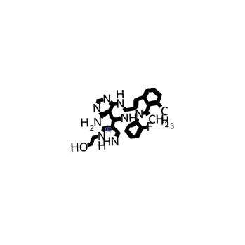 C=C1c2c(C)cccc2C=C(CNc2ncnc(N)c2C(=N)/C(C=N)=C/NCCO)N1c1ccccc1F